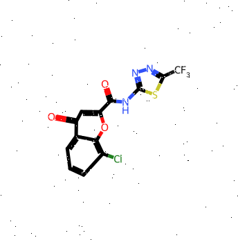 O=C(Nc1nnc(C(F)(F)F)s1)c1cc(=O)c2cccc(Cl)c2o1